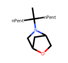 CCCCCC(C)(CCCCC)N1CC2CC1CO2